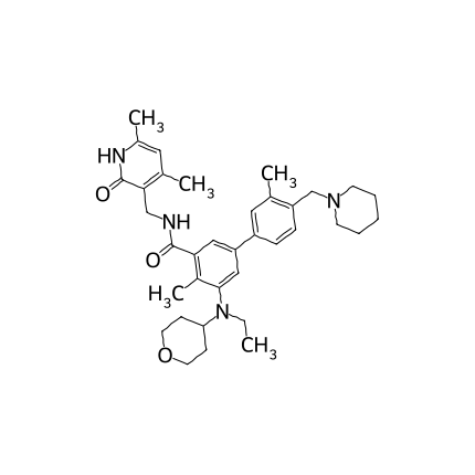 CCN(c1cc(-c2ccc(CN3CCCCC3)c(C)c2)cc(C(=O)NCc2c(C)cc(C)[nH]c2=O)c1C)C1CCOCC1